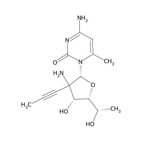 CC#CC1(N)[C@@H](O)[C@@H]([C@H](C)O)O[C@H]1n1c(C)cc(N)nc1=O